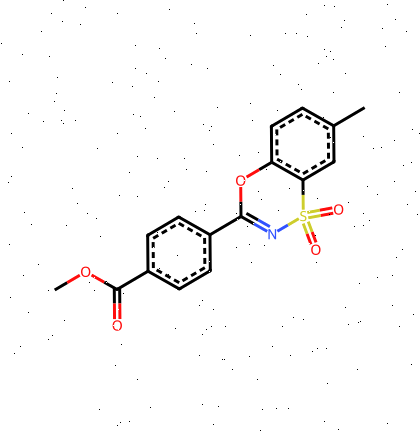 COC(=O)c1ccc(C2=NS(=O)(=O)c3cc(C)ccc3O2)cc1